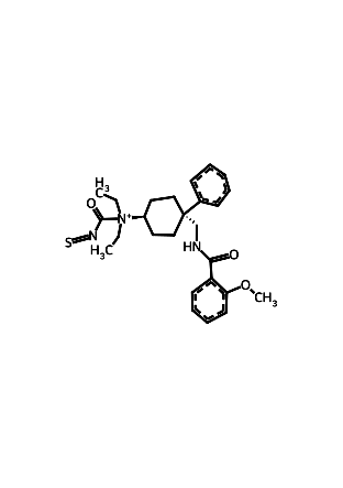 CC[N+](CC)(C(=O)N=S)[C@H]1CC[C@@](CNC(=O)c2ccccc2OC)(c2ccccc2)CC1